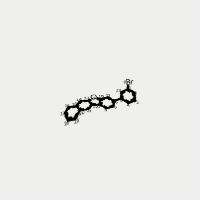 Brc1cccc(-c2ccc3c(c2)oc2cc4ccccc4cc23)c1